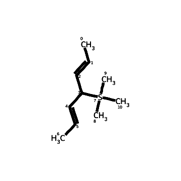 CC=CC(C=CC)S(C)(C)C